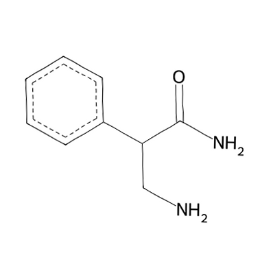 NCC(C(N)=O)c1ccccc1